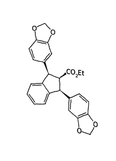 CCOC(=O)[C@@H]1[C@H](c2ccc3c(c2)OCO3)c2ccccc2[C@@H]1c1ccc2c(c1)OCO2